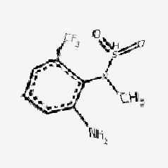 CN(c1c(N)cccc1C(F)(F)F)[SH](=O)=O